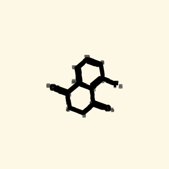 O=C1CCC(=O)c2c(F)cccc21